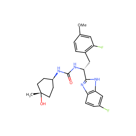 COc1ccc(C[C@@H](NC(=O)N[C@H]2CC[C@](C)(O)CC2)c2nc3ccc(F)cc3[nH]2)c(F)c1